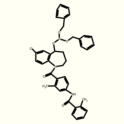 Cc1ccccc1C(=O)Nc1ccc(C(=O)N2CCCC(OP(OCc3ccccc3)OCc3ccccc3)c3cc(Cl)ccc32)c(C)c1